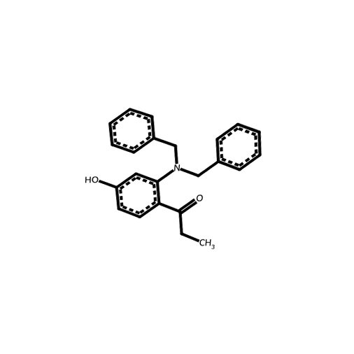 CCC(=O)c1ccc(O)cc1N(Cc1ccccc1)Cc1ccccc1